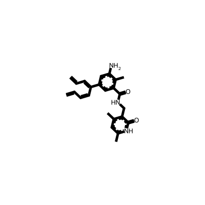 C=C/C=C\C(=C/C=C)c1cc(N)c(C)c(C(=O)NCc2c(C)cc(C)[nH]c2=O)c1